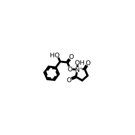 O=C(O[N+]1(O)C(=O)CCC1=O)C(O)c1ccccc1